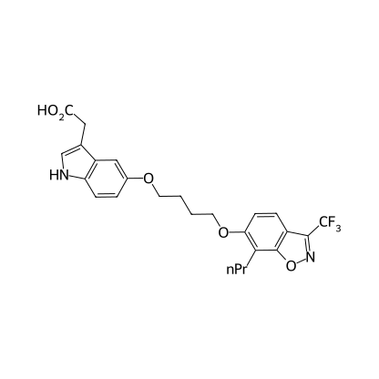 CCCc1c(OCCCCOc2ccc3[nH]cc(CC(=O)O)c3c2)ccc2c(C(F)(F)F)noc12